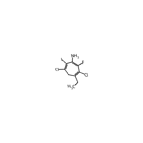 CCC1=C(Cl)C(F)=C(N)C(I)=C(Cl)C1